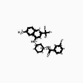 Cc1ccc2nc(C(F)(F)F)cc(N[C@H]3CCC[C@@H](NC(=O)c4cccc(F)c4)C3)c2c1